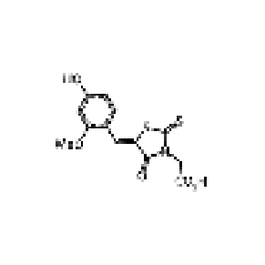 COc1cc(O)ccc1C=C1SC(=S)N(CC(=O)O)C1=O